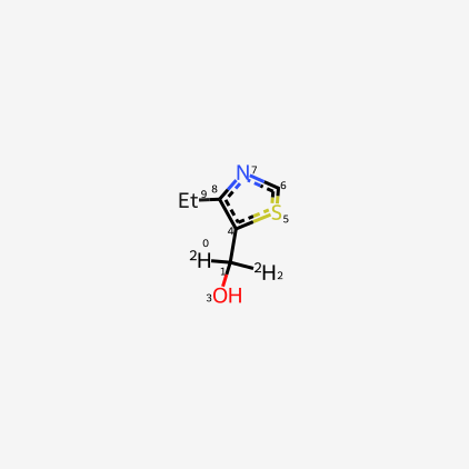 [2H]C([2H])(O)c1scnc1CC